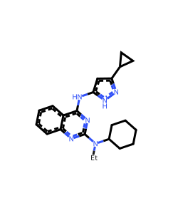 CCN(c1nc(Nc2cc(C3CC3)n[nH]2)c2ccccc2n1)C1CCCCC1